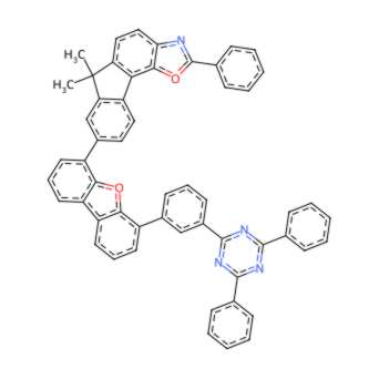 CC1(C)c2cc(-c3cccc4c3oc3c(-c5cccc(-c6nc(-c7ccccc7)nc(-c7ccccc7)n6)c5)cccc34)ccc2-c2c1ccc1nc(-c3ccccc3)oc21